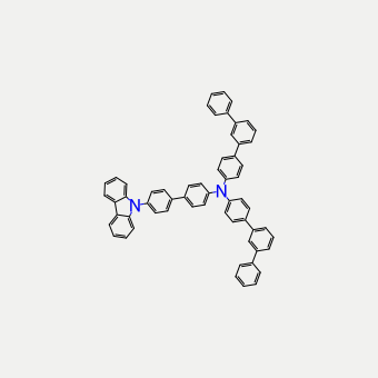 c1ccc(-c2cccc(-c3ccc(N(c4ccc(-c5ccc(-n6c7ccccc7c7ccccc76)cc5)cc4)c4ccc(-c5cccc(-c6ccccc6)c5)cc4)cc3)c2)cc1